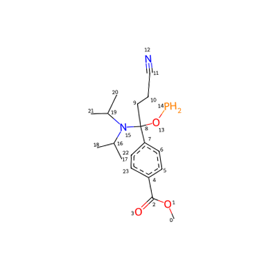 COC(=O)c1ccc(C(CCC#N)(OP)N(C(C)C)C(C)C)cc1